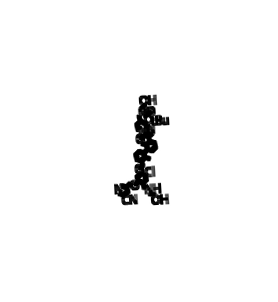 Cc1c(COc2cc(OCc3cncc(C#N)c3)c(CNCCO)cc2Cl)cccc1-c1cccc(-c2cnc3cc(CN(CCO)C(=O)OC(C)(C)C)ccn3c2=O)c1C